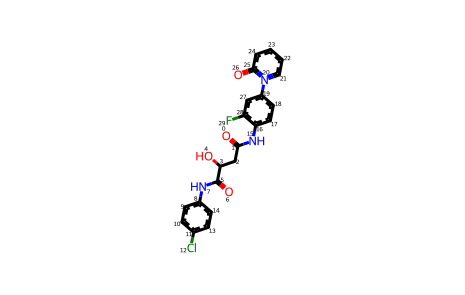 O=C(CC(O)C(=O)Nc1ccc(Cl)cc1)Nc1ccc(-n2ccccc2=O)cc1F